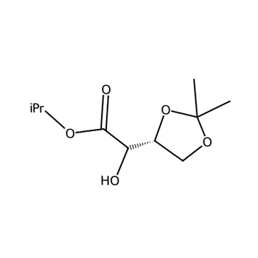 CC(C)OC(=O)C(O)[C@H]1COC(C)(C)O1